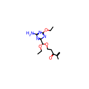 C=C(C)C(=O)CCOC(OCC)c1nc(N)nc(OCC)n1